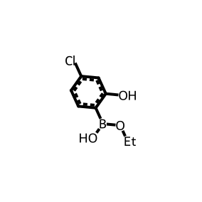 CCOB(O)c1ccc(Cl)cc1O